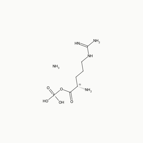 N.N=C(N)NCCC[C@H](N)C(=O)OP(=O)(O)O